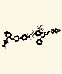 CC1(C)CCC(CN2CCN(c3ccc(C(=O)NS(=O)(=O)c4ccc(NC(CCN5CC6(CNC6)C5)CSc5ccccc5)c(S(=O)(=O)C(F)(F)F)c4)cc3)CC2)=C(C23CC(C(F)F)(C2)C3)C1